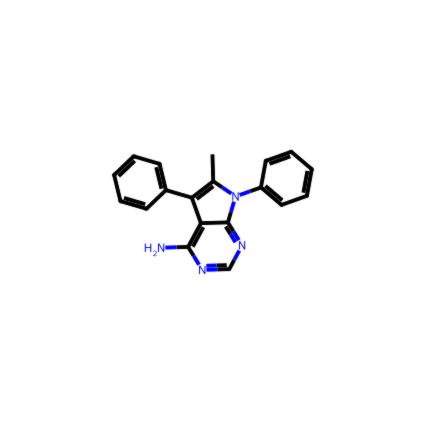 Cc1c(-c2ccccc2)c2c(N)ncnc2n1-c1ccccc1